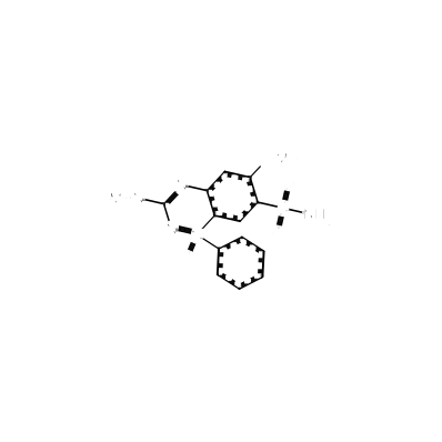 CNC1=Nc2cc(OC)c(S(N)(=O)=O)cc2S(=O)(c2ccccc2)=N1